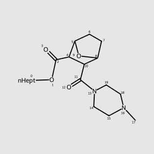 CCCCCCCOC(=O)C1C2CCC(O2)C1C(=O)N1CCN(C)CC1